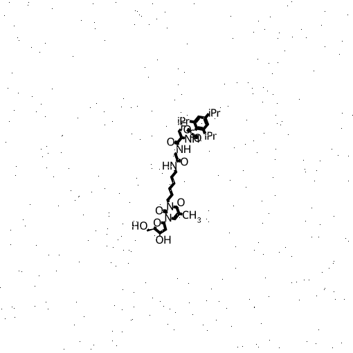 Cc1cn([C@H]2C[C@H](O)[C@@H](CO)O2)c(=O)n(CCCCCCNC(=O)CNC(=O)C(CF)NS(=O)(=O)c2c(C(C)C)cc(C(C)C)cc2C(C)C)c1=O